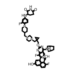 C#Cc1c(F)ccc2cc(O)cc(-c3ncc4c(N5CC6CCC(C5)N6)nc(OCC5(CN6CCN(CC7CCN(c8ccc(NC9CCC(=O)NC9=O)cc8F)CC7)CC6)CC5)nc4c3F)c12